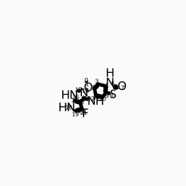 COc1cc2[nH]c(=O)sc2cc1NC1=NCNc2[nH]cc(F)c21